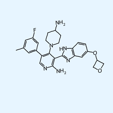 Cc1cc(F)cc(-c2cnc(N)c(-c3nc4cc(OC5COC5)ccc4[nH]3)c2N2CCC(N)CC2)c1